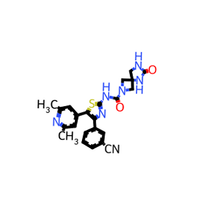 Cc1cc(-c2sc(NC(=O)N3CC4(CNC(=O)N4)C3)nc2-c2cccc(C#N)c2)cc(C)n1